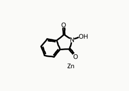 O=C1c2ccccc2C(=O)N1O.[Zn]